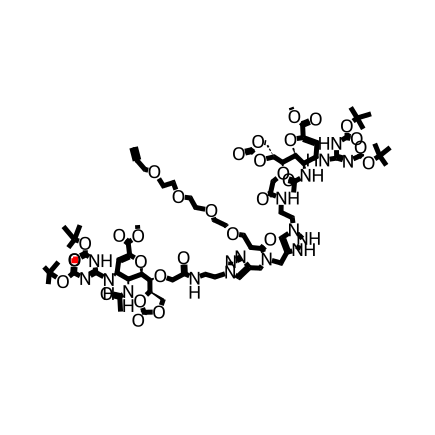 C#CCOCCOCCOCCOCCC(=O)N(CC1=CN(CCNC(=O)CO[C@@H]([C@@H]2OC(C(=O)OC)=C[C@H](N/C(=N/C(=O)OC(C)(C)C)NC(=O)OC(C)(C)C)[C@H]2NC(C)=O)[C@H]2COC(=O)O2)NN1)Cc1cn(CCNC(=O)CO[C@@H]([C@@H]2OC(C(=O)OC)=C[C@H](N/C(=N/C(=O)OC(C)(C)C)NC(=O)OC(C)(C)C)[C@H]2NC(C)=O)[C@H]2COC(=O)O2)nn1